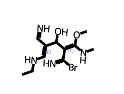 CCN/C=C(\C=N)C(O)/C(C(=N)Br)=C(/NC)OC